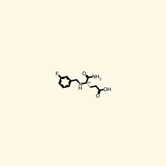 NC(=O)[C@H](CCC(=O)O)NCc1cccc(F)c1